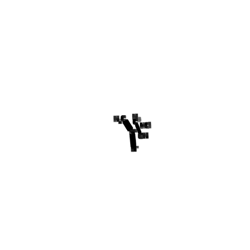 C=[N+]=[N-].CO.Cl